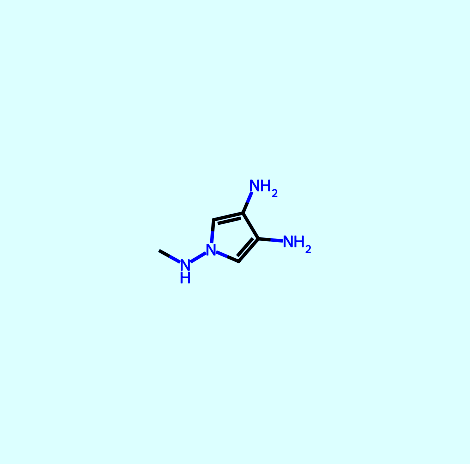 CNn1cc(N)c(N)c1